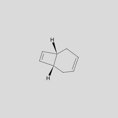 C1=CC[C@@H]2C=C[C@@H]2C1